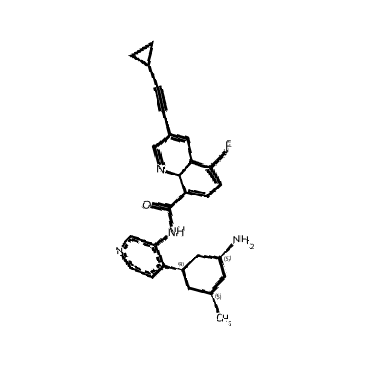 C[C@@H]1C[C@H](N)C[C@H](c2ccncc2NC(=O)C2=CC=C(F)C3C=C(C#CC4CC4)C=NC23)C1